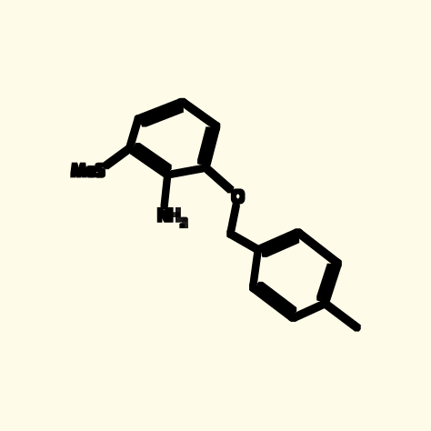 CSc1cccc(OCc2ccc(C)cc2)c1N